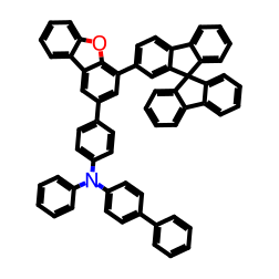 c1ccc(-c2ccc(N(c3ccccc3)c3ccc(-c4cc(-c5ccc6c(c5)C5(c7ccccc7-c7ccccc75)c5ccccc5-6)c5oc6ccccc6c5c4)cc3)cc2)cc1